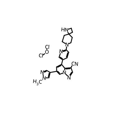 ClOCl.Cn1cc(-c2cc(-c3ccc(N4CCC5(CCN5)CC4)nc3)c3c(C#N)cnn3c2)cn1